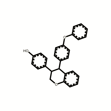 Oc1ccc(C2COc3ccccc3C2c2ccc(Oc3ccccc3)cc2)cc1